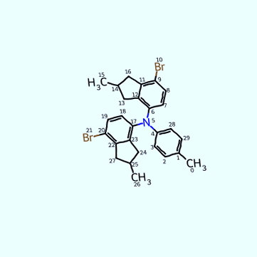 Cc1ccc(N(c2ccc(Br)c3c2CC(C)C3)c2ccc(Br)c3c2CC(C)C3)cc1